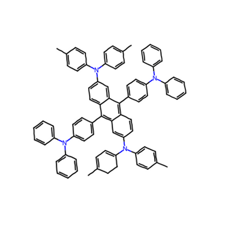 CC1=CC=C(N(c2ccc(C)cc2)c2ccc3c(-c4ccc(N(c5ccccc5)c5ccccc5)cc4)c4cc(N(c5ccc(C)cc5)c5ccc(C)cc5)ccc4c(-c4ccc(N(c5ccccc5)c5ccccc5)cc4)c3c2)CC1